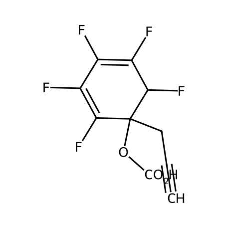 C#CCC1(OC(=O)O)C(F)=C(F)C(F)=C(F)C1F